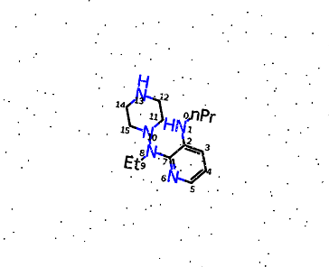 CCCNc1cccnc1N(CC)N1CCNCC1